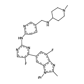 Cc1nc2c(F)cc(-c3nc(Nc4ccc(CNC5CCN(C)CC5)cn4)ncc3F)cc2n1C(C)C